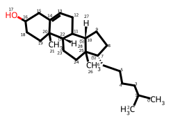 CC(C)CCCC[C@H]1CC[C@H]2C3CC=C4CC(O)CCC4(C)[C@H]3CCC12C